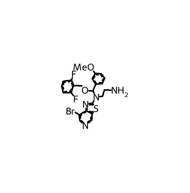 COc1cccc(C(OCc2c(F)cccc2F)N(CCN)c2nc3c(Br)cncc3s2)c1